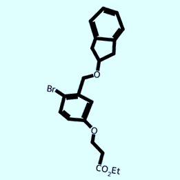 CCOC(=O)CCOc1ccc(Br)c(COC2Cc3ccccc3C2)c1